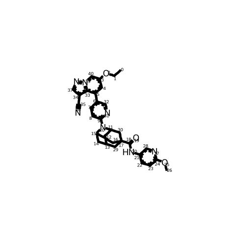 CCOc1cc(-c2ccc(N3C4CC5CC3CC(C(=O)Nc3ccc(OC)nc3)(C5)C4)nc2)c2c(C#N)cnn2c1